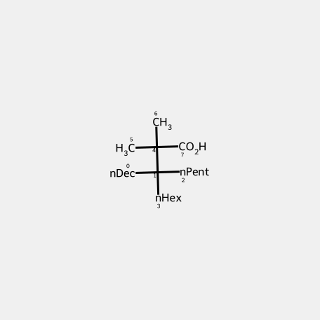 CCCCCCCCCCC(CCCCC)(CCCCCC)C(C)(C)C(=O)O